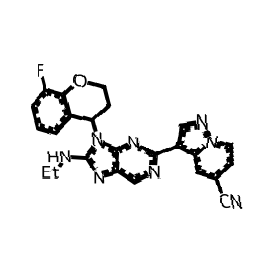 CCNc1nc2cnc(-c3cnn4ccc(C#N)cc34)nc2n1C1CCOc2c(F)cccc21